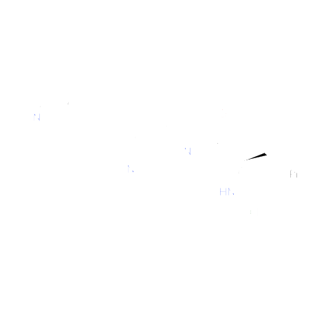 CC(C)C[C@@H](NCl)C(=O)N1CCN(CC2CCN(C)CC2)CC1